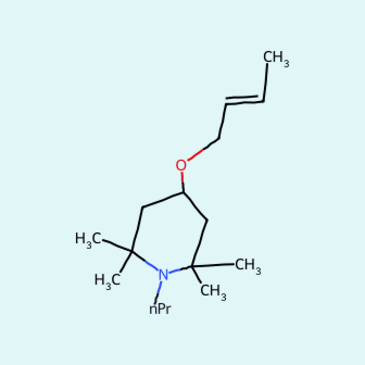 CC=CCOC1CC(C)(C)N(CCC)C(C)(C)C1